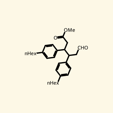 CCCCCCc1ccc(C(CC=O)C(CC(=O)OC)c2ccc(CCCCCC)cc2)cc1